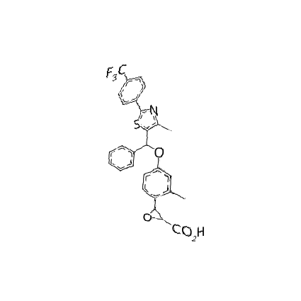 Cc1cc(OC(c2ccccc2)c2sc(-c3ccc(C(F)(F)F)cc3)nc2C)ccc1C1OC1C(=O)O